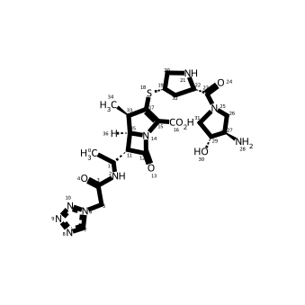 CC(NC(=O)Cn1cnnn1)[C@H]1C(=O)N2C(C(=O)O)=C(S[C@@H]3CN[C@H](C(=O)N4C[C@@H](N)[C@H](O)C4)C3)[C@H](C)[C@H]12